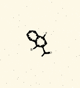 CC(=O)c1cc(F)c2ccccc2c1Br